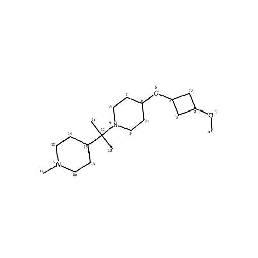 COC1CC(OC2CCN(C(C)(C)C3CCN(C)CC3)CC2)C1